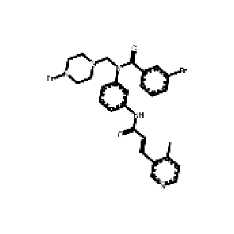 CCN1CCN(CN(C(=O)c2cccc(Br)c2)c2cccc(NC(=O)C=Cc3cnccc3C)c2)CC1